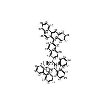 NC(NC(NCc1ccccc1-c1ccccc1)c1ccc2cc(-c3c4ccccc4cc4c3ccc3ccccc34)ccc2c1)c1ccccc1-c1ccccc1